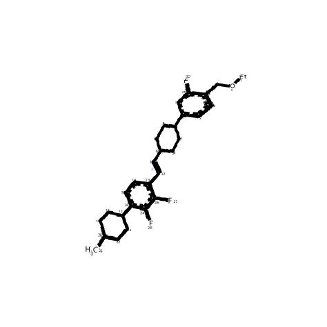 CCOCc1ccc(C2CCC(/C=C/c3ccc(C4CCC(C)CC4)c(F)c3F)CC2)cc1F